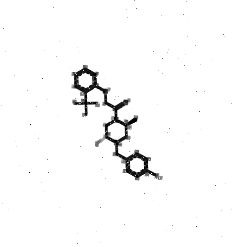 C[C@@H]1CN(C(=O)COc2ccccc2C(C)(C)C)[C@@H](C)CN1Cc1ccc(F)cc1